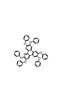 c1ccc(Oc2cc3c(cc2Oc2ccccc2)c2cc(Oc4ccccc4)c(Oc4ccccc4)nc2c2nc(Oc4ccccc4)c(Oc4ccccc4)cc32)cc1